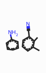 Cc1cccc(C#N)c1C.Nc1ccccc1